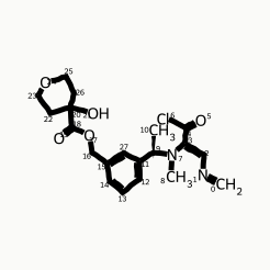 C=N/C=C(/C(=O)Cl)N(C)[C@H](C)c1cccc(COC(=O)C2(O)CCOCC2)c1